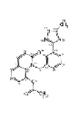 CC(=O)Oc1cccc2ccc(=O)n(Cc3cccc(-c4noc(C)n4)c3)c12